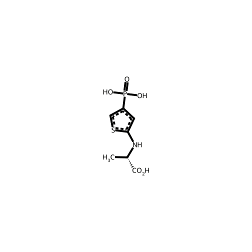 C[C@H](Nc1cc(P(=O)(O)O)cs1)C(=O)O